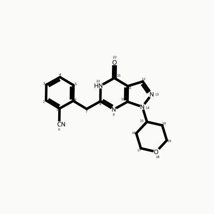 N#Cc1ccccc1Cc1nc2c(cnn2C2CCOCC2)c(=O)[nH]1